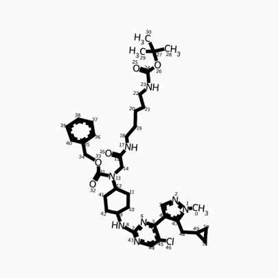 Cn1ncc(-c2nc(NC3CCC(N(CC(=O)NCCCCCNC(=O)OC(C)(C)C)C(=O)OCc4ccccc4)CC3)ncc2Cl)c1CC1CC1